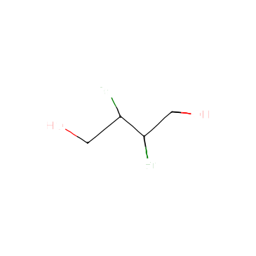 OCC(Br)C(Br)CO